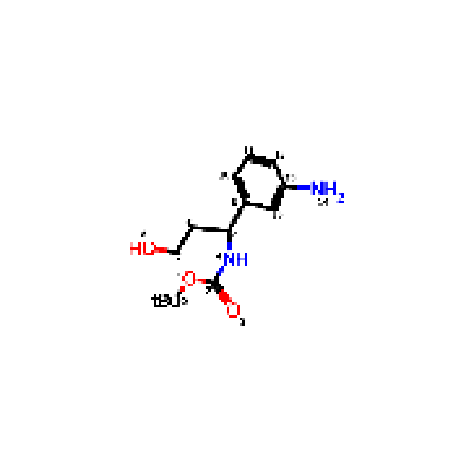 CC(C)(C)OC(=O)NC(CCO)c1cccc(N)c1